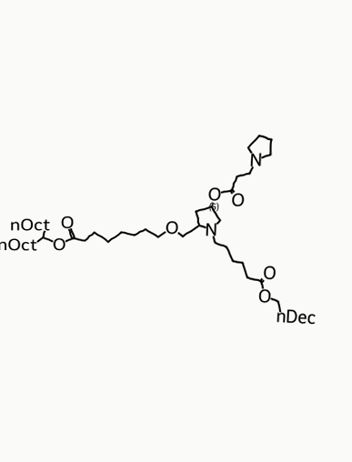 CCCCCCCCCCCOC(=O)CCCCCN1C[C@@H](OC(=O)CCN2CCCC2)CC1COCCCCCCCC(=O)OC(CCCCCCCC)CCCCCCCC